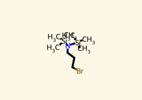 C[Si](C)(C)N(CCCBr)[Si](C)(C)C